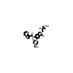 CC(C)(O)[C@H](F)CN1Cc2cc(NC(=O)c3cnn4cccnc34)c(N3CCN(C(C)(C)C)CC3)cc2C1=O